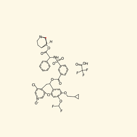 O=C(O)C(F)(F)F.O=C(OC(Cc1c(Cl)c[n+]([O-])cc1Cl)c1ccc(OC(F)F)c(OCC2CC2)c1)c1cccc(S(=O)(=O)NC(C(=O)O[C@@H]2CN3CCC2CC3)c2ccccc2)c1